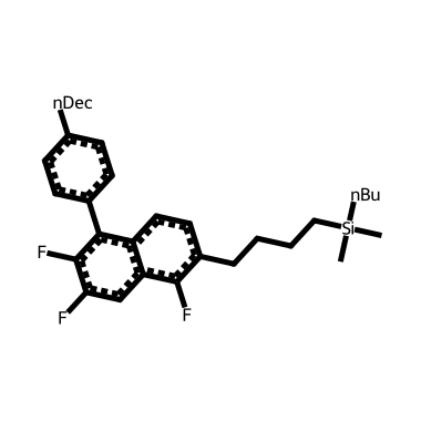 CCCCCCCCCCc1ccc(-c2c(F)c(F)cc3c(F)c(CCCC[Si](C)(C)CCCC)ccc23)cc1